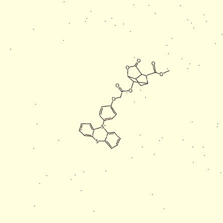 COC(=O)C1C2CC3C(OC(=O)C31)C2OC(=O)COc1ccc([S+]2c3ccccc3Sc3ccccc32)cc1